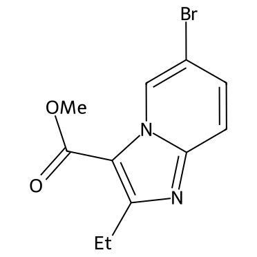 CCc1nc2ccc(Br)cn2c1C(=O)OC